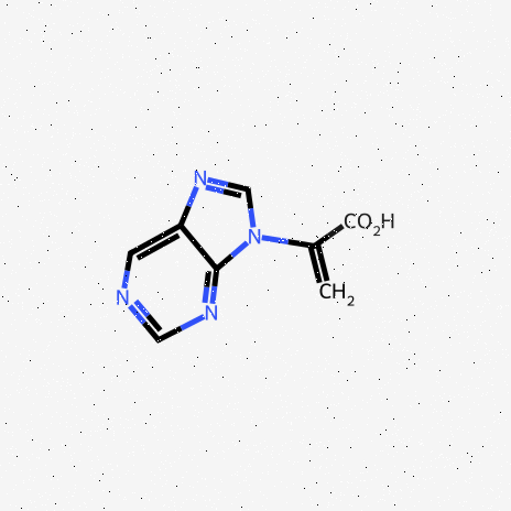 C=C(C(=O)O)n1cnc2cncnc21